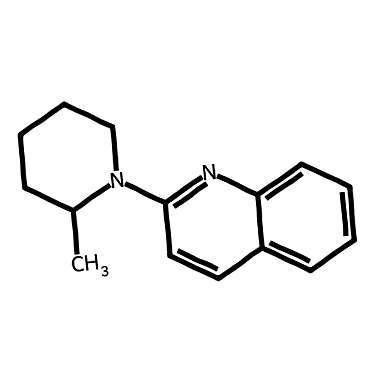 CC1CCCCN1c1ccc2ccccc2n1